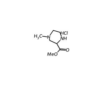 COC(=O)C1CN(C)CCN1.Cl